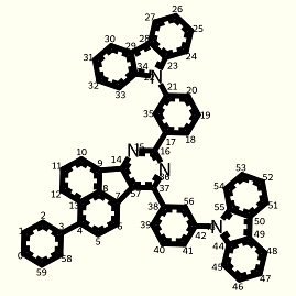 c1ccc(-c2ccc3c4c(cccc24)-c2nc(-c4cccc(-n5c6ccccc6c6ccccc65)c4)nc(-c4cccc(-n5c6ccccc6c6ccccc65)c4)c2-3)cc1